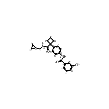 O=C(Nc1ccc(C2(C(=O)NCC3CC3)CCC2)cc1)c1cccc(Cl)c1